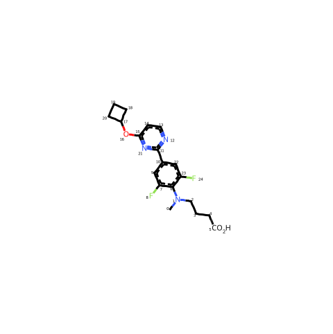 CN(CCCC(=O)O)c1c(F)cc(-c2nccc(OC3CCC3)n2)cc1F